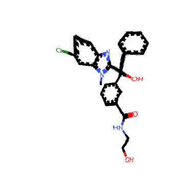 Cn1c(C(O)(c2ccccc2)c2cccc(C(=O)NCCO)c2)nc2ccc(Cl)cc21